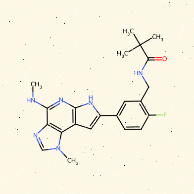 CNc1nc2[nH]c(-c3ccc(F)c(CNC(=O)C(C)(C)C)c3)cc2c2c1ncn2C